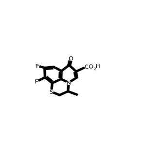 CC1CSc2c(F)c(F)cc3c(=O)c(C(=O)O)cn1c23